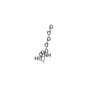 COCCOCCOCCOCCOC(=O)NC(CC(C)C)C(=O)O